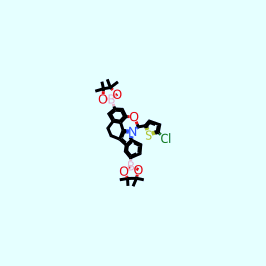 CC1(C)OB(c2cc3c4c(c2)OC(c2ccc(Cl)s2)n2c-4c(c4cc(B5OC(C)(C)C(C)(C)O5)ccc42)CC3)OC1(C)C